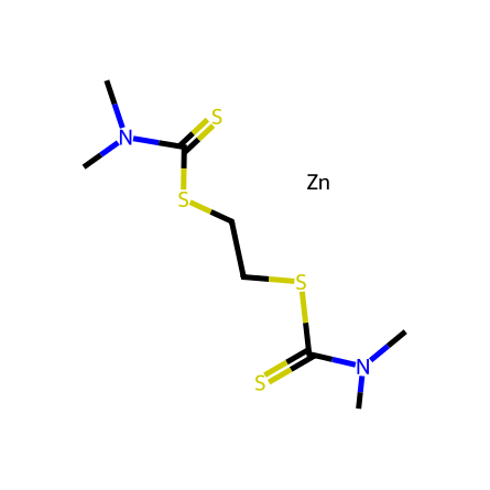 CN(C)C(=S)SCCSC(=S)N(C)C.[Zn]